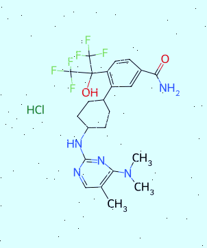 Cc1cnc(NC2CCC(c3cc(C(N)=O)ccc3C(O)(C(F)(F)F)C(F)(F)F)CC2)nc1N(C)C.Cl